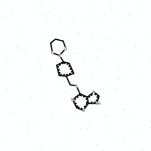 c1nc(SCc2ccc(B3OCCCO3)cc2)c2nc[nH]c2n1